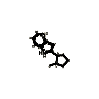 CN1CCCC1c1cc2ncccc2[nH]1